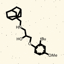 COc1ccc(OCC(O)CNCC23CC4CC(CC(C4)C2)C3)c(C(C)(C)C)c1